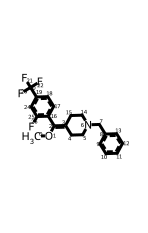 COC(=C1CCN(Cc2ccccc2)CC1)c1ccc(C(F)(F)F)cc1F